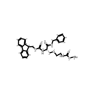 CC(C)(C)OC(=O)NCCOC[C@H](NC(=O)OCC1c2ccccc2-c2ccccc21)C(=O)OCc1ccccc1